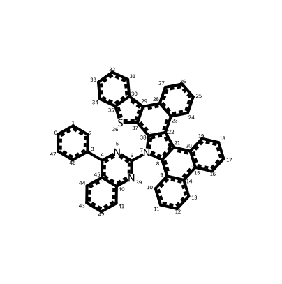 c1ccc(-c2nc(-n3c4c5ccccc5c5ccccc5c4c4c5ccccc5c5c6ccccc6sc5c43)nc3ccccc23)cc1